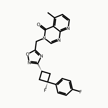 Cc1ccnc2ncn(Cc3nc([C@H]4C[C@](F)(c5ccc(F)cc5)C4)no3)c(=O)c12